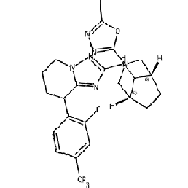 Cc1nnc(N2C[C@H]3CC[C@@H](C2)C3Nc2nc3n(n2)CCCC3c2ccc(C(F)(F)F)cc2F)o1